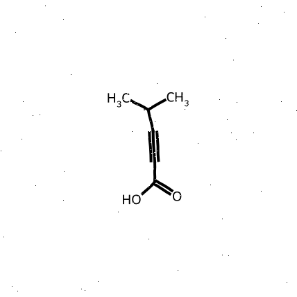 C[C](C)C#CC(=O)O